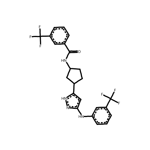 O=C(NC1CCC(c2cc(Nc3cccc(C(F)(F)F)c3)n[nH]2)C1)c1cccc(C(F)(F)F)c1